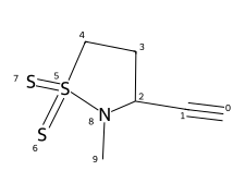 C#CC1CCS(=S)(=S)N1C